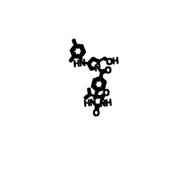 Cc1ccc(N[C@H]2C[C@@H](CO)N(C(=O)c3ccc([C@@]4(C(C)C)NC(=O)NC4=O)cc3)C2)c(C)c1